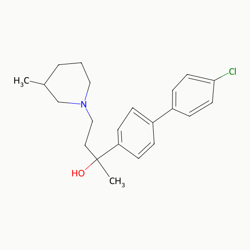 CC1CCCN(CCC(C)(O)c2ccc(-c3ccc(Cl)cc3)cc2)C1